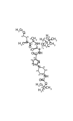 C=C(NC(=O)[C@H](CO[Si](C)(C)C(C)(C)C)NC(=O)c1csc(N2CCC(NC(=O)OC(C)(C)C)CC2)n1)C(=O)N(C)CCOC